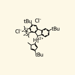 CC1C=C(C(C)(C)C)C=[C]1[Hf+2][CH]1c2ccc(C(C)(C)C)cc2-c2cc(C(C)(C)C)c3c(c21)[Si](C)(C)[Si]3(C)C.[Cl-].[Cl-]